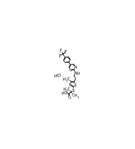 Cc1nc(SC(C)(C)C(=O)O)sc1CCNc1ncc(-c2ccc(C(F)(F)F)cc2)cn1.Cl